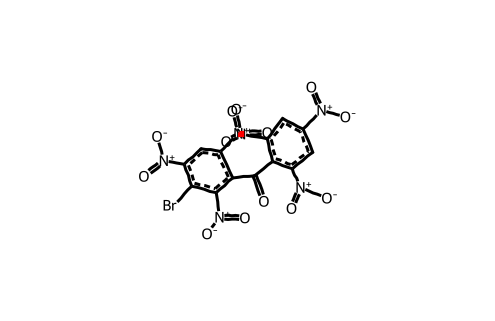 O=C(c1c([N+](=O)[O-])cc([N+](=O)[O-])cc1[N+](=O)[O-])c1c([N+](=O)[O-])cc([N+](=O)[O-])c(Br)c1[N+](=O)[O-]